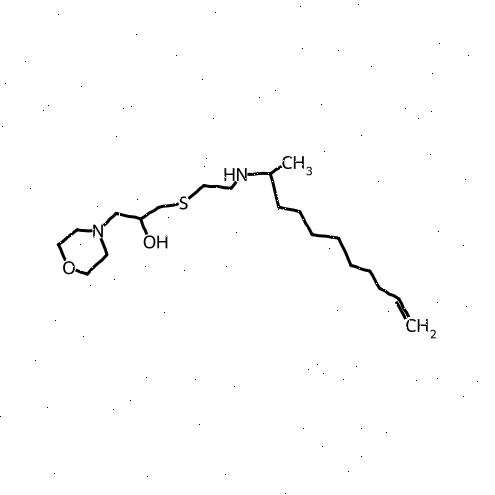 C=CCCCCCCCC(C)NCCSCC(O)CN1CCOCC1